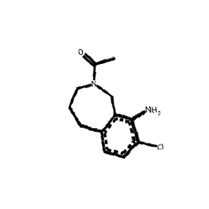 CC(=O)N1CCCc2ccc(Cl)c(N)c2C1